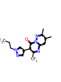 Cc1cc2nc(C(F)(F)F)c(-c3cnn(CCC(F)(F)F)c3)c(=O)n2nc1C